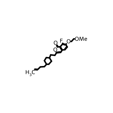 C/C=C/CCC1CCC(CCc2cc3ccc(OCCOC)c(F)c3c(=O)o2)CC1